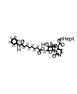 CCCCCCCOC(=O)Nc1ccnc(=O)n1[C@@H]1O[C@H](COC(=O)CCCCCCC(=O)Nc2ccccc2)[C@@H](O)C1(F)F